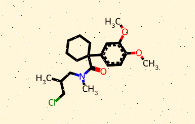 COc1ccc(C2(C(=O)N(C)CC(C)CCl)CCCCC2)cc1OC